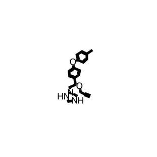 C#CCOC(CN1CNCN1)c1ccc(Oc2ccc(C)cc2)cc1